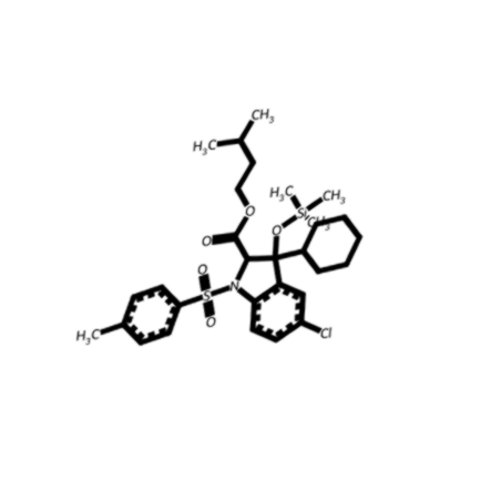 Cc1ccc(S(=O)(=O)N2c3ccc(Cl)cc3C(O[Si](C)(C)C)(C3CCCCC3)C2C(=O)OCCC(C)C)cc1